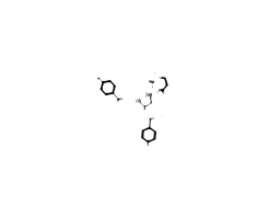 O=C(OC[C@H]1O[C@@H](n2c(=S)cc[nH]c2=O)CC1OC(=O)c1ccc(Cl)cc1)c1ccc(Cl)cc1